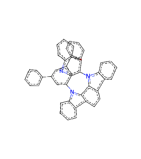 c1ccc(-c2cc(-c3ccccc3)cc(-n3c4ccccc4c4ccc5c6ccccc6n(-c6cnc7ccccc7c6)c5c43)c2)cc1